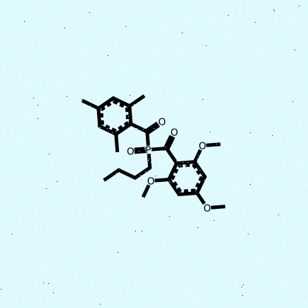 CCCCP(=O)(C(=O)c1c(C)cc(C)cc1C)C(=O)c1c(OC)cc(OC)cc1OC